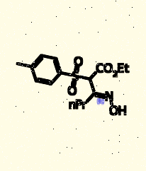 CCC/C(=N\O)C(C(=O)OCC)S(=O)(=O)c1ccc(C)cc1